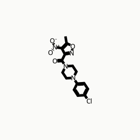 Cc1onc(C(=O)N2CCN(c3ccc(Cl)cc3)CC2)c1[N+](=O)[O-]